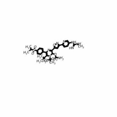 CNC(=N)Nc1ccc(-c2cc(C3=NC(c4ccc(S(=O)(=O)C(C)C)cc4)=C(C(C)(C)C)N(C(C)(C)C)C3OC(N)=O)on2)nc1